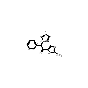 Nc1ncc(C(=O)C(c2ccccc2)n2cncn2)s1